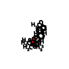 CC(C)(C)[Si](C)(C)OC[C@]12CCC3(C[C@@H]1CC[C@@H]1[C@@H]2CC[C@]2(C)C(=O)CC[C@@H]12)OCCO3